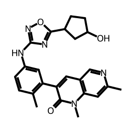 Cc1cc2c(cn1)cc(-c1cc(Nc3noc(C4CCC(O)C4)n3)ccc1C)c(=O)n2C